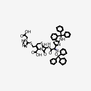 O=C(O)Cn1nnnc1SCC1=C(C(=O)O)N2C(=O)C(NC(=O)/C(=N\OC(c3ccccc3)(c3ccccc3)c3ccccc3)c3csc(NC(c4ccccc4)(c4ccccc4)c4ccccc4)n3)[C@H]2SC1